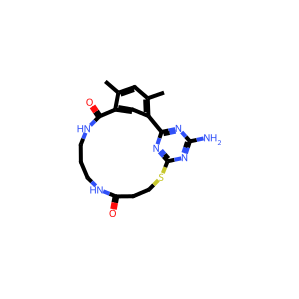 Cc1cc(C)c2cc1C(=O)NCCCNC(=O)CCSc1nc(N)nc-2n1